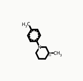 Cc1ccc(N2CCC[C@H](C)C2)cc1